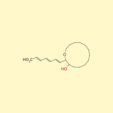 O=C(O)C=CC=CC=CC1OCCCCCCCCCCCC1O